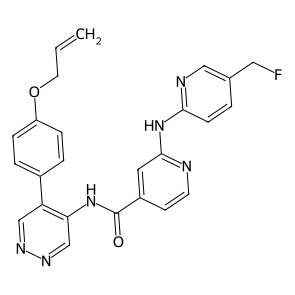 C=CCOc1ccc(-c2cnncc2NC(=O)c2ccnc(Nc3ccc(CF)cn3)c2)cc1